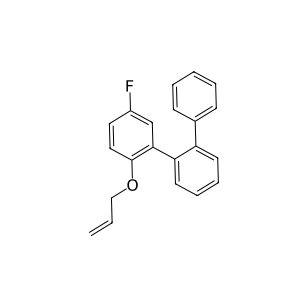 C=CCOc1ccc(F)cc1-c1ccccc1-c1ccccc1